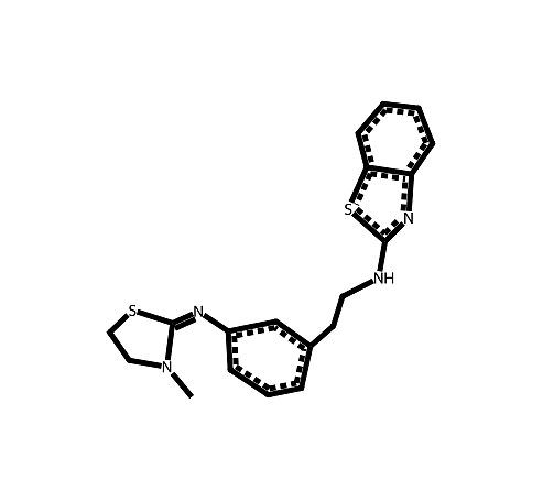 CN1CCS/C1=N/c1cccc(CCNc2nc3ccccc3s2)c1